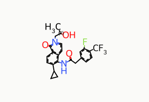 C[C@@H](O)Cn1ccc2c(NC(=O)Cc3ccc(C(F)(F)F)c(F)c3)c(C3CC3)ccc2c1=O